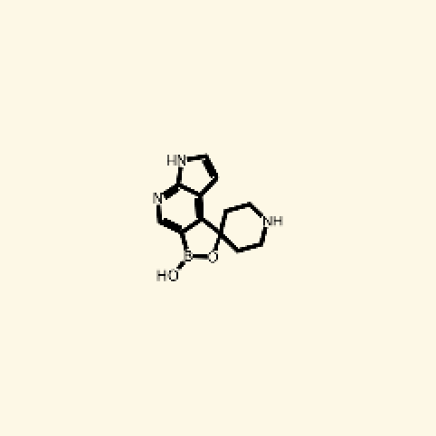 OB1OC2(CCNCC2)c2c1cnc1[nH]ccc21